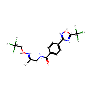 CC(CNC(=O)c1ccc(-c2noc(C(F)(F)F)n2)cc1)=NOCC(F)(F)F